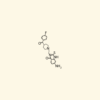 Nc1ccc2c(=O)n(CCN3CCC(C(=O)c4ccc(F)cc4)CC3)c(=S)[nH]c2c1